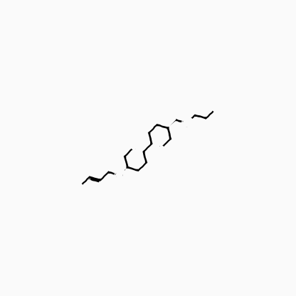 CC=CCO[C@H]1CC[C@H]([C@H]2CC[C@H](COCCC)CC2)CC1